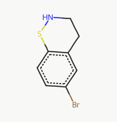 Brc1ccc2c(c1)CCNS2